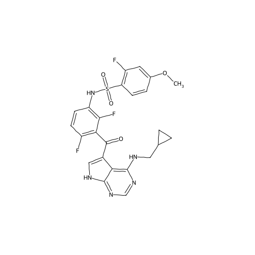 COc1ccc(S(=O)(=O)Nc2ccc(F)c(C(=O)c3c[nH]c4ncnc(NCC5CC5)c34)c2F)c(F)c1